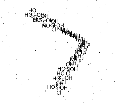 N.N.N.N.N.N.N.N.N.N.N.N.N.N.N.N.N.N.O[Si](O)(O)Cl.O[Si](O)(O)Cl.O[Si](O)(O)Cl.O[Si](O)(O)Cl.O[Si](O)(O)Cl.O[Si](O)(O)Cl